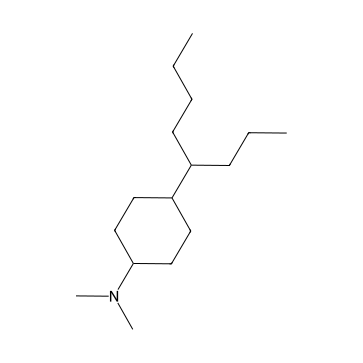 CCCCC(CCC)C1CCC(N(C)C)CC1